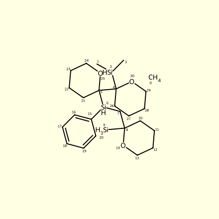 C.C[SiH](C)C1(C2([SiH](CC3([SiH3])CCCCO3)c3ccccc3)CCCCO2)CCCCO1